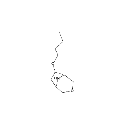 CCCCOC1CC2COCC1N2